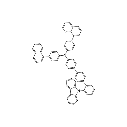 c1ccc(-n2c3ccccc3c3ccccc32)c(-c2ccc(-c3ccc(N(c4ccc(-c5cccc6ccccc56)cc4)c4ccc(-c5cccc6ccccc56)cc4)cc3)cc2)c1